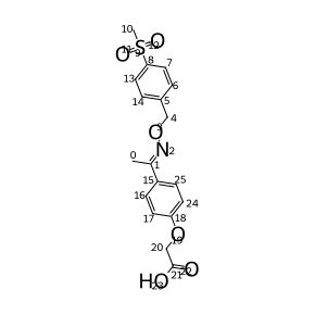 C/C(=N\OCc1ccc(S(C)(=O)=O)cc1)c1ccc(OCC(=O)O)cc1